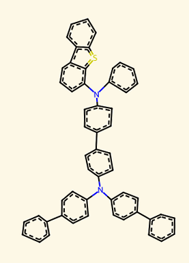 c1ccc(-c2ccc(N(c3ccc(-c4ccccc4)cc3)c3ccc(-c4ccc(N(c5ccccc5)c5cccc6c5sc5ccccc56)cc4)cc3)cc2)cc1